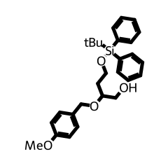 COc1ccc(COC(CO)CCO[Si](c2ccccc2)(c2ccccc2)C(C)(C)C)cc1